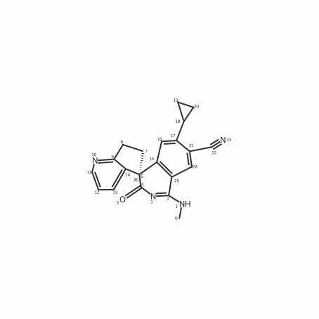 CNC1=NC(=O)[C@]2(CCc3ncccc32)c2cc(C3CC3)c(C#N)cc21